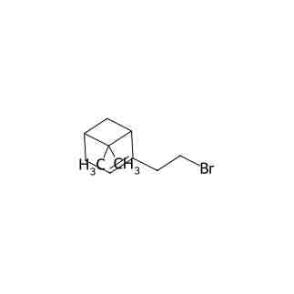 CC1(C)C2CC=C(CCBr)C1C2